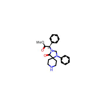 COC(=O)[C@@H](c1ccccc1)N1CN(c2ccccc2)C2(CCNCC2)C1=O